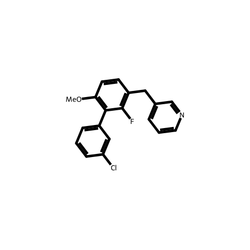 COc1ccc(Cc2cccnc2)c(F)c1-c1cccc(Cl)c1